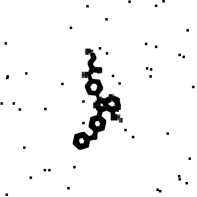 CC(C)CCC(=O)N[C@H]1CC[C@H](n2nc(-c3ccc(Oc4ccccc4)cc3)c3c(N)ncnc32)CC1